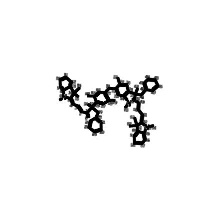 C=C(/C=C/C=C1/N(C)c2ccccc2C1(C)C)C(C)(Cc1ccccc1)c1cc(C)c(Cc2cc3c(cc2C)C(C)(Cc2ccccc2)C(/C=C/C=C2/N(C)c4ccccc4C2(C)C)=[N+]3C)cc1C